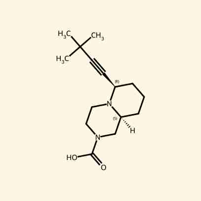 CC(C)(C)C#C[C@H]1CCC[C@H]2CN(C(=O)O)CCN21